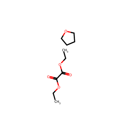 C1CCOC1.CCOC(=O)C(=O)OCC